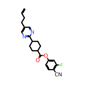 C=CCCc1cnc(C2CCC(C(=O)Oc3ccc(C#N)c(F)c3)CC2)nc1